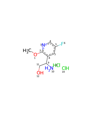 COc1ncc(F)cc1C(N)CO.Cl.Cl